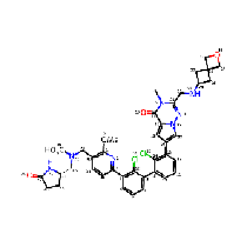 COc1nc(-c2cccc(-c3cccc(-c4cc5c(=O)n(C)c(CNC6CC7(COC7)C6)nn5c4)c3Cl)c2Cl)ccc1CN(C[C@@H]1CCC(=O)N1)C(=O)O